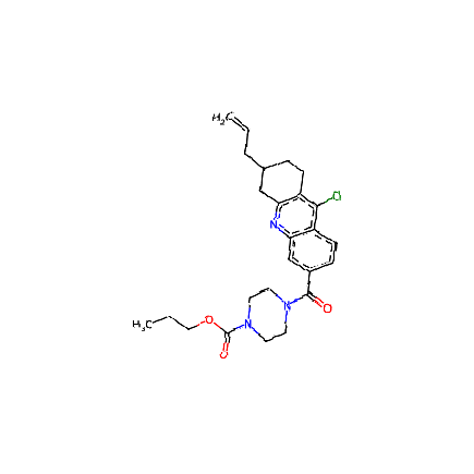 C=CCC1CCc2c(nc3cc(C(=O)N4CCN(C(=O)OCCC)CC4)ccc3c2Cl)C1